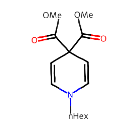 CCCCCCN1C=CC(C(=O)OC)(C(=O)OC)C=C1